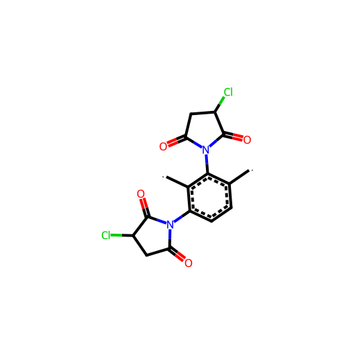 [CH2]c1ccc(N2C(=O)CC(Cl)C2=O)c([CH2])c1N1C(=O)CC(Cl)C1=O